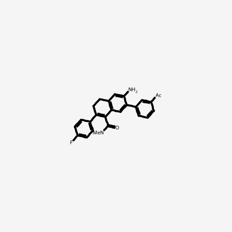 CNC(=O)C1=C(c2ccc(F)cc2)CCc2cc(N)c(-c3cccc(C(C)=O)c3)cc21